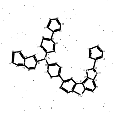 C1=C(c2ccc3oc4ccc5nc(-c6ccccc6)sc5c4c3c2)CCC(N(c2ccc(-c3ccccc3)cc2)c2ccc3ccccc3c2)=C1